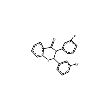 O=C1c2ccccc2SC(c2cccc(Br)c2)N1c1cccc(Br)c1